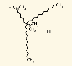 CCCCCCCCCCCCC(CCCCCCCCCCCC)(CCCCCN(C)C)N(C)C.I